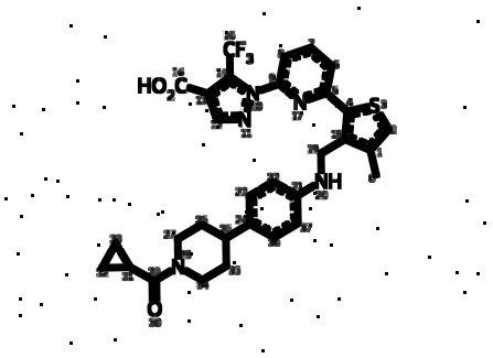 Cc1csc(-c2cccc(-n3ncc(C(=O)O)c3C(F)(F)F)n2)c1CNc1ccc(C2CCN(C(=O)C3CC3)CC2)cc1